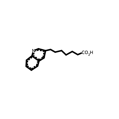 O=C(O)CCCCCCc1cnc2ccccc2c1